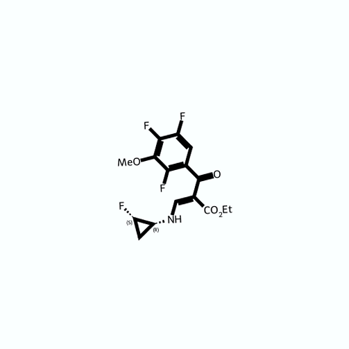 CCOC(=O)C(=CN[C@@H]1C[C@@H]1F)C(=O)c1cc(F)c(F)c(OC)c1F